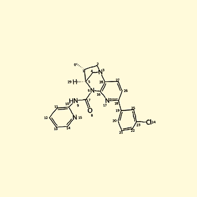 C[C@@H]1CN2C[C@H]1N(C(=O)Nc1ccccn1)c1nc(-c3cccc(Cl)c3)ccc12